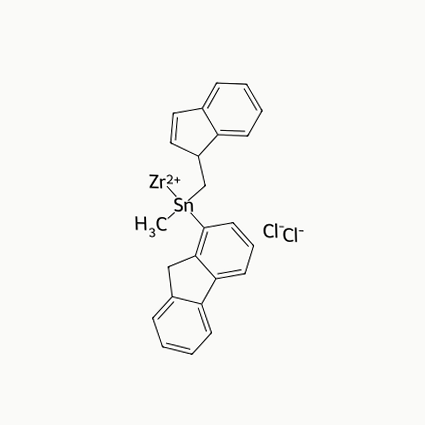 [CH3][Sn]([Zr+2])([CH2]C1C=Cc2ccccc21)[c]1cccc2c1Cc1ccccc1-2.[Cl-].[Cl-]